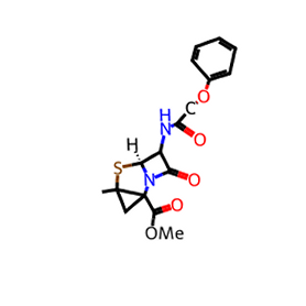 COC(=O)C12CC1(C)S[C@H]1C(NC(=O)COc3ccccc3)C(=O)N12